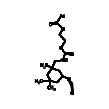 CC(=O)C(=O)OCCOC(=O)NCC1(C)CC(N=C=O)CC(C)(C)C1